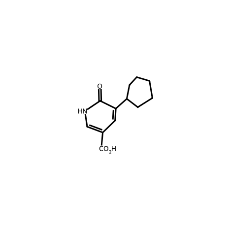 O=C(O)c1c[nH]c(=O)c(C2CCCCC2)c1